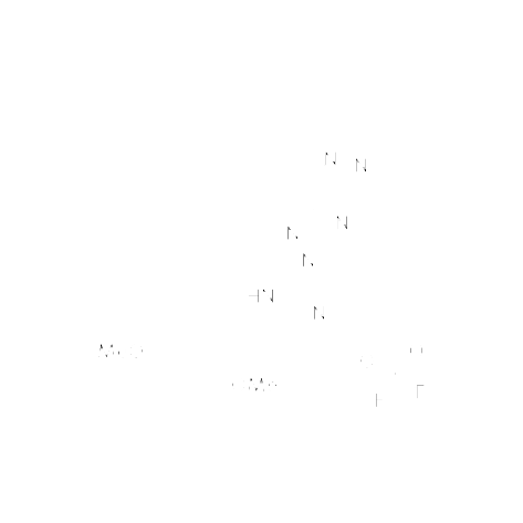 COc1ccc(CNc2nc3c4c(ccc3c3nc(Cn5cccn5)nn23)OC(F)(F)O4)c(OC)c1